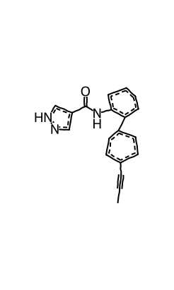 CC#Cc1ccc(-c2ccccc2NC(=O)c2cn[nH]c2)cc1